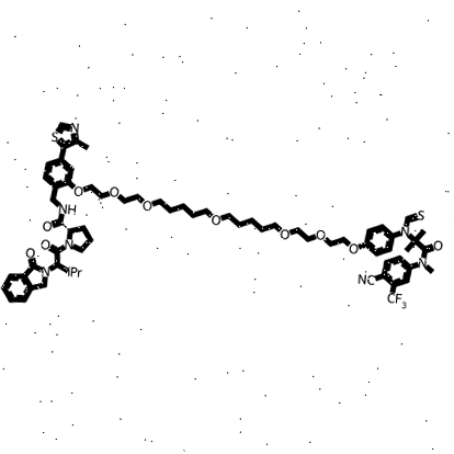 Cc1ncsc1-c1ccc(CNC(=O)[C@@H]2CCCN2C(=O)C(C(C)C)N2Cc3ccccc3C2=O)c(OCCOCCOCCCCCOCCCCCOCCOCCOc2ccc(N(C=S)C(C)(C)C(=O)N(C)c3ccc(C#N)c(C(F)(F)F)c3)cc2)c1